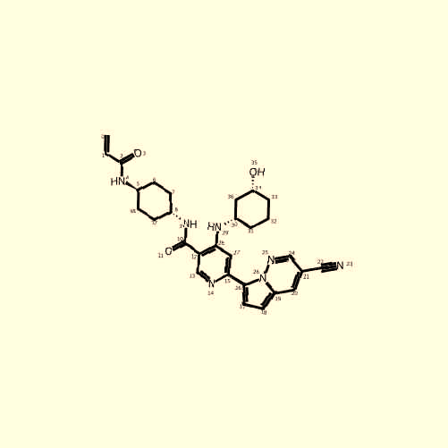 C=CC(=O)N[C@H]1CC[C@H](NC(=O)c2cnc(-c3ccc4cc(C#N)cnn34)cc2N[C@H]2CCC[C@@H](O)C2)CC1